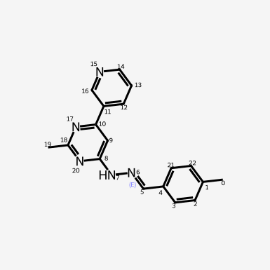 Cc1ccc(/C=N/Nc2cc(-c3cccnc3)nc(C)n2)cc1